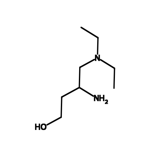 CCN(CC)CC(N)CCO